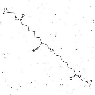 C#CC(C/C=C/CCCCCCC(=O)OCC1CO1)CCCCCCC(=O)OCC1CO1